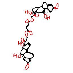 C[C@]12C=CC(=O)C=C1CCC1C2[C@@H](O)C[C@@]2(C)C1CC[C@]2(O)C(=O)COC(=O)CCC(=O)OCC(=O)[C@@]1(O)CCC2C3CCC4=CC(=O)C=C[C@]4(C)C3[C@@H](O)C[C@@]21C